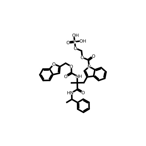 CC(NC(=O)C(C)(Cc1cn(C(=O)OCOP(=O)(O)O)c2ccccc12)NC(=O)OCc1cc2ccccc2o1)c1ccccc1